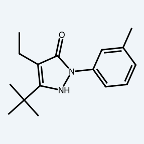 CCc1c(C(C)(C)C)[nH]n(-c2cccc(C)c2)c1=O